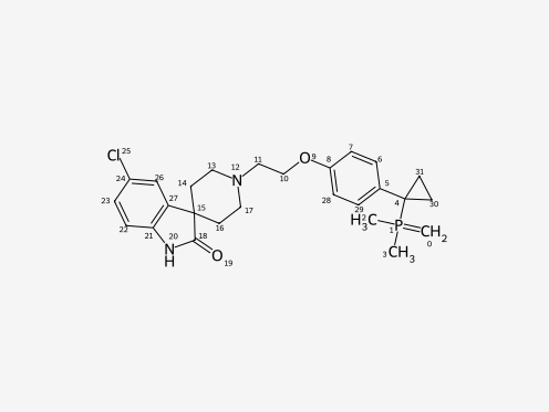 C=P(C)(C)C1(c2ccc(OCCN3CCC4(CC3)C(=O)Nc3ccc(Cl)cc34)cc2)CC1